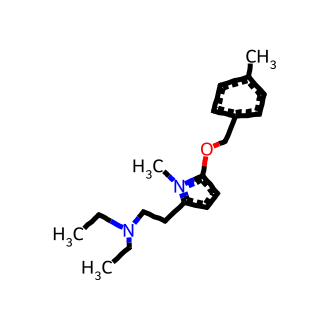 CCN(CC)CCc1ccc(OCc2ccc(C)cc2)n1C